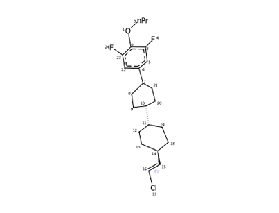 CCCOc1c(F)cc(C2CCC([C@H]3CC[C@H](/C=C/Cl)CC3)CC2)cc1F